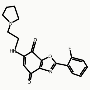 O=C1C=C(NCCN2CCCC2)C(=O)c2oc(-c3ccccc3F)nc21